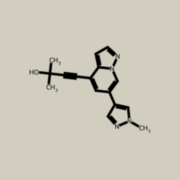 Cn1cc(-c2cc(C#CC(C)(C)O)c3ccnn3c2)cn1